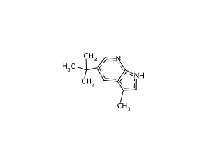 Cc1c[nH]c2ncc(C(C)(C)C)cc12